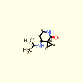 CC(C)NC1CCNC(=O)C12CC2